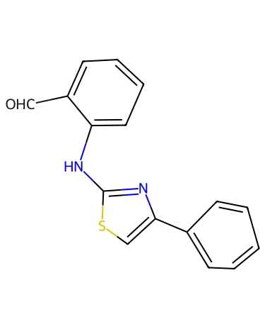 O=Cc1ccccc1Nc1nc(-c2ccccc2)cs1